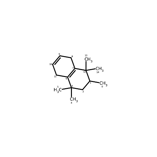 CC1CC(C)(C)C2=C(CC=CC2)C1(C)C